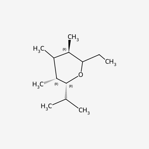 CCC1O[C@H](C(C)C)[C@H](C)C(C)[C@H]1C